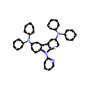 c1ccc(N(c2ccccc2)c2ccc3c(c2)c2cc(N(c4ccccc4)c4ccccc4)ccc2n3-c2ccccn2)cc1